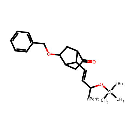 CCCCCC(C=CC1C2CC(OCc3ccccc3)C1CC2=O)O[Si](C)(C)C(C)(C)C